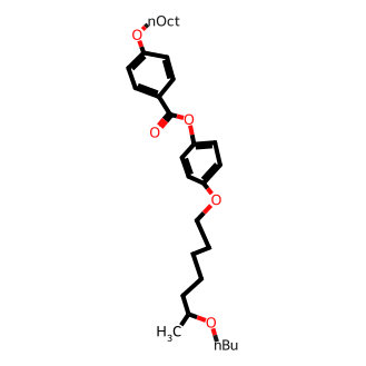 CCCCCCCCOc1ccc(C(=O)Oc2ccc(OCCCCCC(C)OCCCC)cc2)cc1